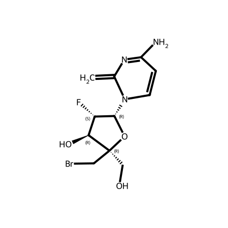 C=C1N=C(N)C=CN1[C@@H]1O[C@@](CO)(CBr)[C@@H](O)[C@@H]1F